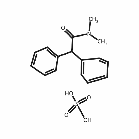 CN(C)C(=O)C(c1ccccc1)c1ccccc1.O=S(=O)(O)O